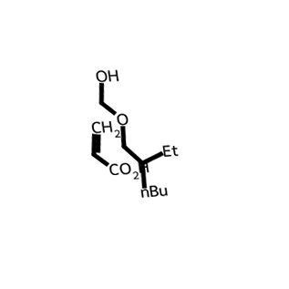 C=CC(=O)O.CCCCC(CC)COCO